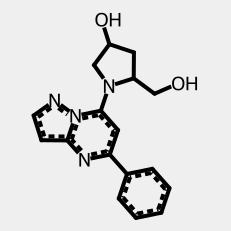 OCC1CC(O)CN1c1cc(-c2ccccc2)nc2ccnn12